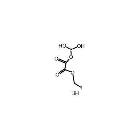 O=C(OCI)C(=O)OB(O)O.[LiH]